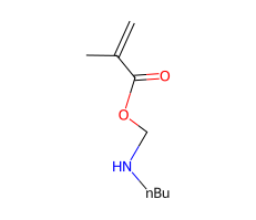 C=C(C)C(=O)OCNCCCC